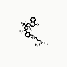 CN(C)CCCNCc1cccc(C(C)(C)CC(O)(Cn2ccc(=O)c3ccccc32)C(F)(F)F)c1